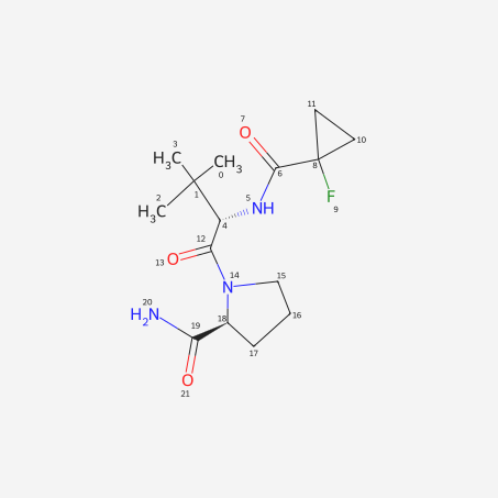 CC(C)(C)[C@H](NC(=O)C1(F)CC1)C(=O)N1CCC[C@H]1C(N)=O